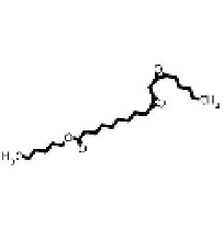 CCCCCCOC(=O)CCCCCCCCC1OC1CC1OC1CCCCC